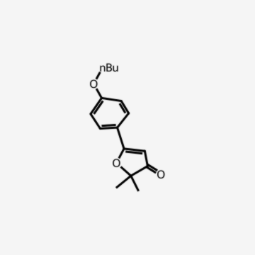 CCCCOc1ccc(C2=CC(=O)C(C)(C)O2)cc1